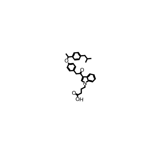 CC(C)Cc1ccc(C(C)Oc2ccc(CC(=O)c3cn(CCCC(=O)O)c4ccccc34)cc2)cc1